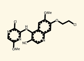 COc1cnc(Cl)c(Nc2c(C#N)cnc3cc(OCCCl)c(OC)cc23)n1